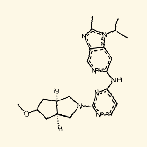 COC1C[C@@H]2CN(c3nccc(Nc4cc5c(cn4)nc(C)n5C(C)C)n3)C[C@@H]2C1